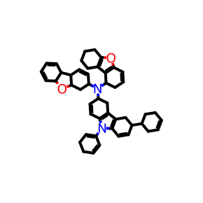 C1=CC2OC3CC(N(C4C=Cc5c(c6c(n5C5=CCCC=C5)C=CC(C5CC=CCC5)C6)C4)C4CC=Cc5oc6c(c54)CCCC6)C=CC3C2C=C1